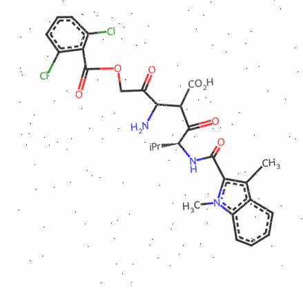 Cc1c(C(=O)N[C@H](C(=O)C(C(=O)O)C(N)C(=O)COC(=O)c2c(Cl)cccc2Cl)C(C)C)n(C)c2ccccc12